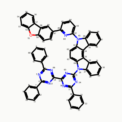 c1ccc(-c2nc(-c3ccccc3)nc(-c3nc(-c4ccccc4)nc(-n4c5ccccc5c5c6c7ccccc7n(-c7cccc(-c8ccc9oc%10ccccc%10c9c8)n7)c6ccc54)n3)n2)cc1